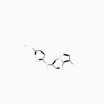 Cc1ccc(Nc2cnc3c(I)cnn3c2)nn1